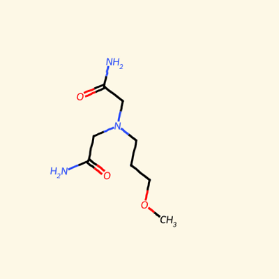 COCCCN(CC(N)=O)CC(N)=O